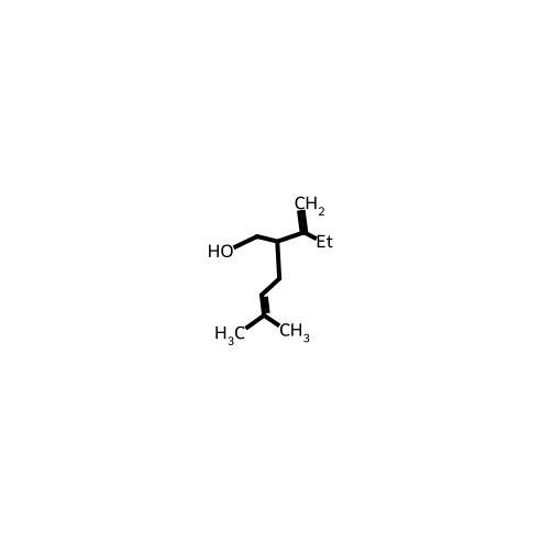 C=C(CC)C(CO)CC=C(C)C